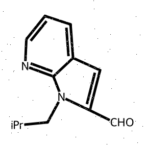 CC(C)Cn1c(C=O)cc2cccnc21